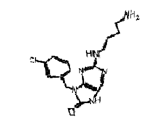 NCCCCNc1ncc2[nH]c(=O)n(Cc3cccc(Cl)c3)c2n1